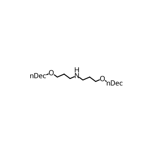 CCCCCCCCCCOCCCNCCCOCCCCCCCCCC